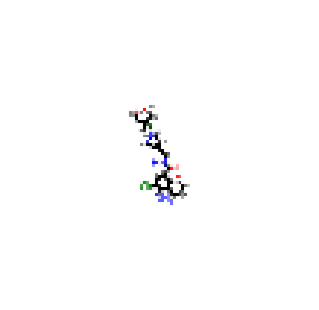 Nc1c(Cl)cc(C(=O)NCC2C3CN(CC4(F)CCOCC4)CC23)c2c1CCCO2